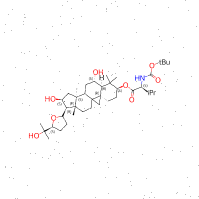 CC(C)[C@H](NC(=O)OC(C)(C)C)C(=O)O[C@H]1CC[C@]23CC24CC[C@]2(C)[C@@H](C5CC[C@@H](C(C)(C)O)O5)[C@@H](O)C[C@@]2(C)C4C[C@H](O)[C@H]3C1(C)C